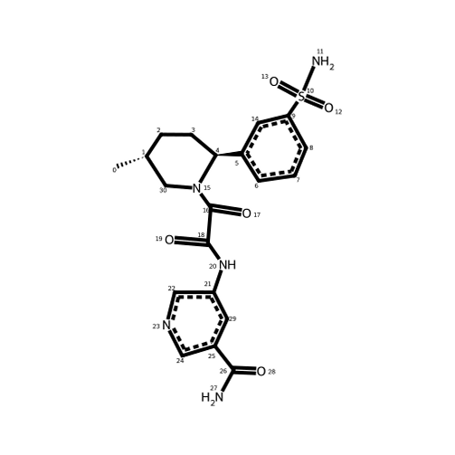 C[C@@H]1CC[C@@H](c2cccc(S(N)(=O)=O)c2)N(C(=O)C(=O)Nc2cncc(C(N)=O)c2)C1